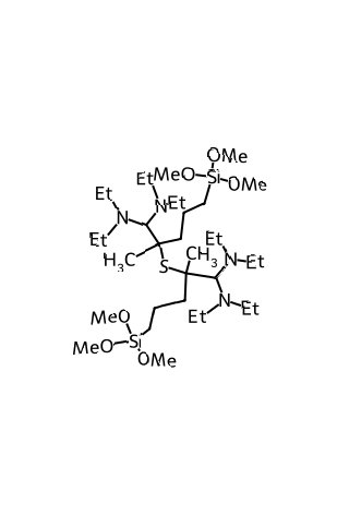 CCN(CC)C(N(CC)CC)C(C)(CCC[Si](OC)(OC)OC)SC(C)(CCC[Si](OC)(OC)OC)C(N(CC)CC)N(CC)CC